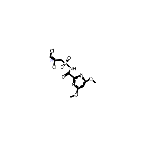 COc1cc(OC)nc(C(=O)NS(=O)(=O)C/C(Cl)=C\Cl)n1